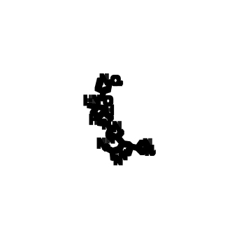 COc1cc(C(=O)NC2(C)C[C@H]3CN(c4cnc(-c5cc(-c6cnn(C)c6)cn6ncc(C#N)c56)cn4)C[C@H]3C2)ccn1